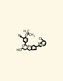 CC(C)Oc1ccc(C(=O)NC(CCO)Cc2ccc(-c3cn4cccc(Cl)c4n3)cc2)cc1C#N